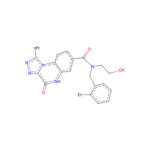 CCCc1nnc2c(=O)[nH]c3cc(C(=O)N(CCO)Cc4ccccc4CC)ccc3n12